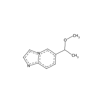 COC(C)c1ccc2nccn2c1